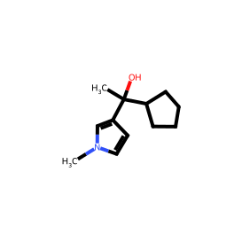 Cn1ccc(C(C)(O)C2CCCC2)c1